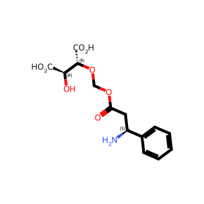 N[C@@H](CC(=O)OCO[C@@H](C(=O)O)[C@@H](O)C(=O)O)c1ccccc1